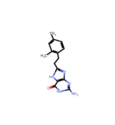 Cc1ccc(CCc2nc3nc(N)[nH]c(=O)c3[nH]2)c(C)c1